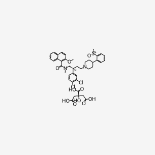 COc1ccc2ccccc2c1C(=O)N(C)C[C@@H](CCN1CCC(c2ccccc2[S@+](C)[O-])CC1)c1ccc(Cl)c(Cl)c1.O=C(O)CC(O)(CC(=O)O)C(=O)O